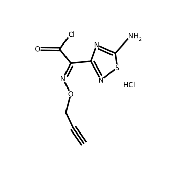 C#CCO/N=C(/C(=O)Cl)c1nsc(N)n1.Cl